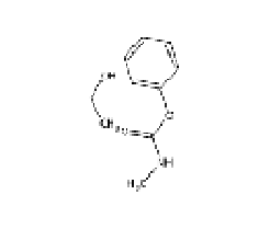 CCO.CNC(=O)Oc1ccccc1